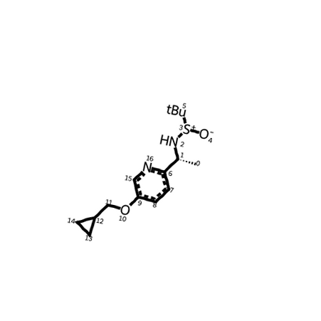 C[C@@H](N[S+]([O-])C(C)(C)C)c1ccc(OCC2CC2)cn1